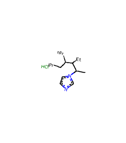 CCCC(CC(C)C)C(CC)C(C)n1ccnc1.Cl